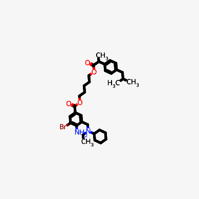 CCN(Cc1cc(C(=O)OCCCCCOC(=O)C(C)c2ccc(CC(C)C)cc2)cc(Br)c1N)C1CCCCC1